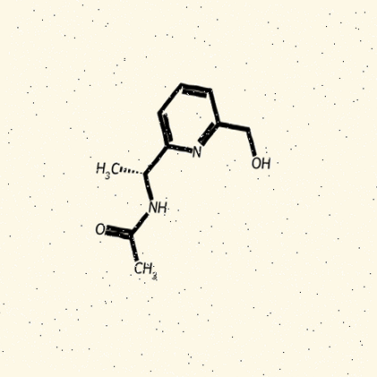 CC(=O)N[C@H](C)c1cccc(CO)n1